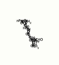 CCCN(CCC)C(=O)C1=Cc2ccc(C(=O)Nc3cnc4c(c3)CN(C(=O)OCc3ccc(NC(=O)C(CCCNC(N)=O)NC(=O)C(NC=O)C(C)C)cc3)CC4)cc2N=C(N)C1